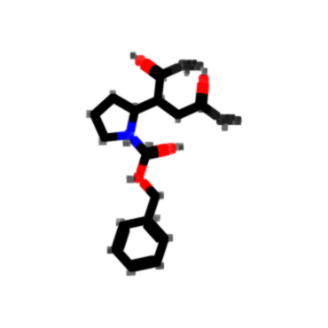 COC(=O)CC(C(=O)OC)C1CCCN1C(=O)OCc1ccccc1